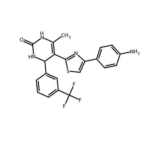 CC1=C(c2nc(-c3ccc(N)cc3)cs2)C(c2cccc(C(F)(F)F)c2)NC(=O)N1